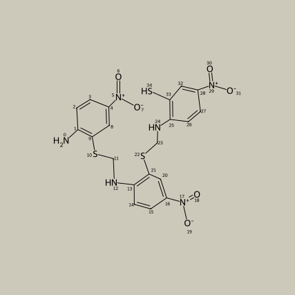 Nc1ccc([N+](=O)[O-])cc1SCNc1ccc([N+](=O)[O-])cc1SCNc1ccc([N+](=O)[O-])cc1S